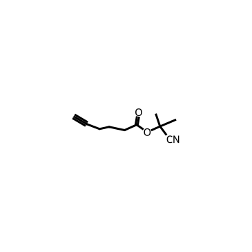 C#CCCCC(=O)OC(C)(C)C#N